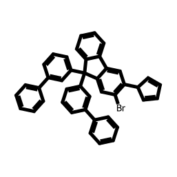 Brc1cc2c(cc1C1C=CC=C1)-c1ccccc1C2(c1cccc(-c2ccccc2)c1)c1cccc(-c2ccccc2)c1